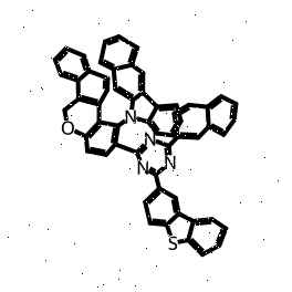 c1ccc2cc(-c3nc(-c4ccc5sc6ccccc6c5c4)nc(-c4ccc5c(c4-n4c6ccccc6c6cc7ccccc7cc64)-c4ccc6ccccc6c4CO5)n3)ccc2c1